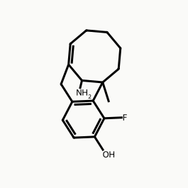 CC12CCCC/C=C(/Cc3ccc(O)c(F)c31)C2N